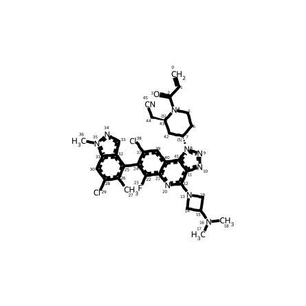 C=CC(=O)N1CC[C@H](n2nnc3c(N4CC(N(C)C)C4)nc4c(F)c(-c5c(C)c(Cl)cc6c5cnn6C)c(Cl)cc4c32)C[C@H]1CC#N